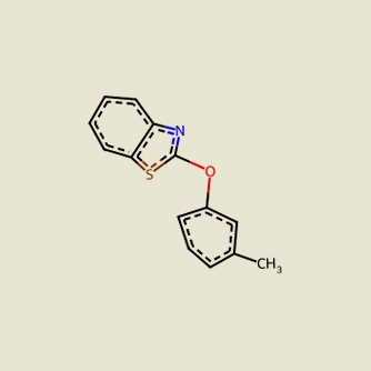 Cc1cccc(Oc2nc3ccccc3s2)c1